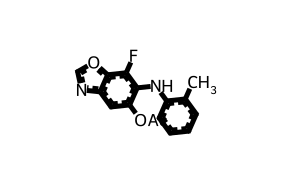 CC(=O)Oc1cc2ncoc2c(F)c1Nc1ccccc1C